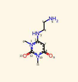 Cn1c(NCCN)cc(=O)n(C)c1=O